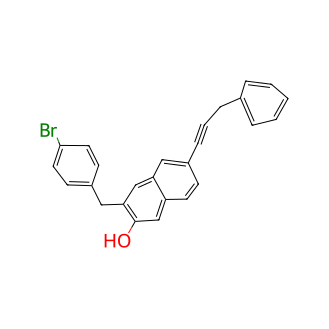 Oc1cc2ccc(C#CCc3ccccc3)cc2cc1Cc1ccc(Br)cc1